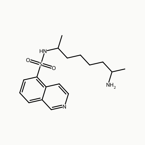 CC(N)CCCCC(C)NS(=O)(=O)c1cccc2cnccc12